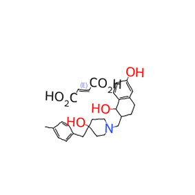 Cc1ccc(CC2(O)CCN(CC3CCc4cc(O)ccc4C3O)CC2)cc1.O=C(O)/C=C/C(=O)O